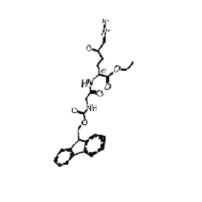 CCOC(=O)[C@H](CCC(=O)C=[N+]=[N-])NC(=O)CNC(=O)OCC1c2ccccc2-c2ccccc21